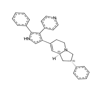 C1=C(c2c[nH]c(-c3ccccc3)c2-c2ccncc2)CCN2C[C@H](c3ccccc3)C[C@@H]12